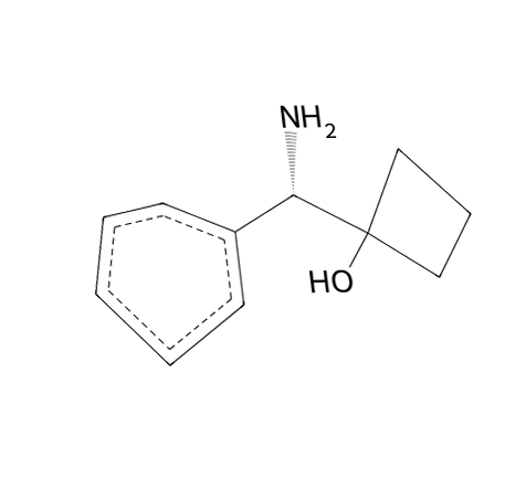 N[C@@H](c1ccccc1)C1(O)CCC1